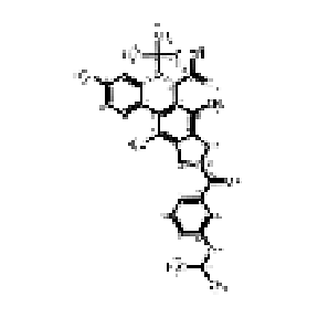 Cc1ccc(-c2c(C)c3c(c(C)c2[C@H](OC(C)(C)C)C(=O)O)CN(C(=O)c2cccc(OC(C)C)c2)C3)cc1